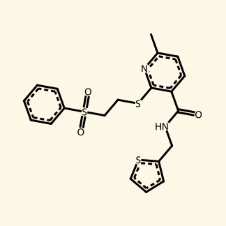 Cc1ccc(C(=O)NCc2cccs2)c(SCCS(=O)(=O)c2ccccc2)n1